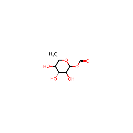 C[C@@H]1OC(OC=O)[C@@H](O)[C@H](O)C1O